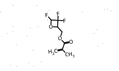 C=C(C)C(=O)OCC1OC(F)C1(F)F